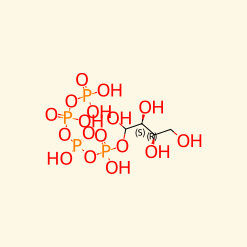 O=P(O)(O)OP(=O)(O)OP(=O)(O)OP(=O)(O)OC(O)[C@@H](O)[C@H](O)CO